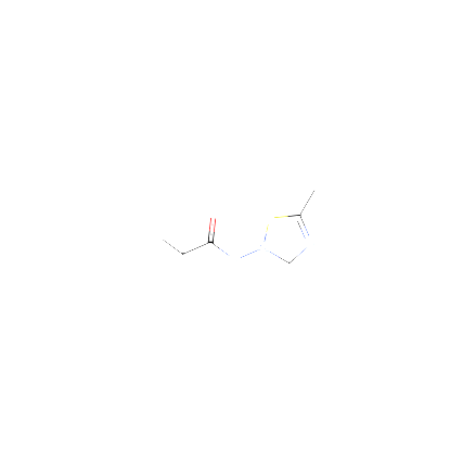 CC(=O)CC(=O)NN1CN=C(C)S1